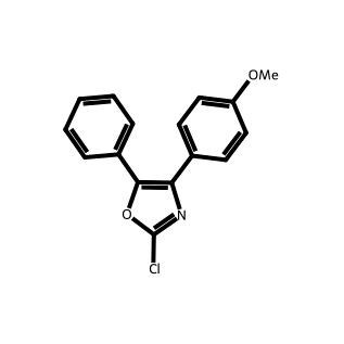 COc1ccc(-c2nc(Cl)oc2-c2ccccc2)cc1